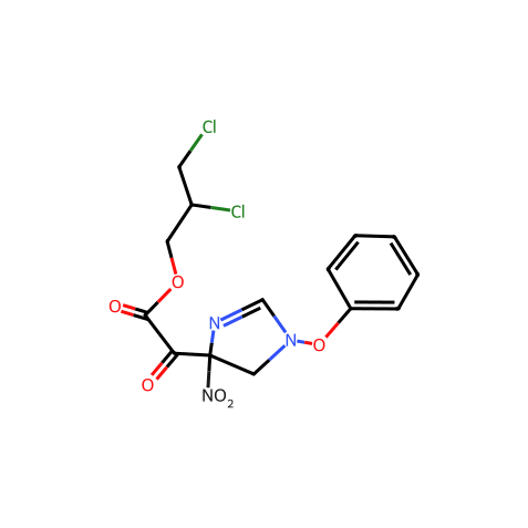 O=C(OCC(Cl)CCl)C(=O)C1([N+](=O)[O-])CN(Oc2ccccc2)C=N1